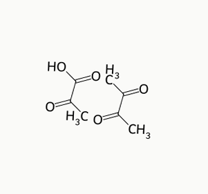 CC(=O)C(=O)O.CC(=O)C(C)=O